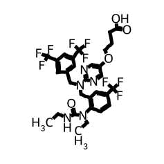 CCNC(=O)N(CC)c1ccc(C(F)(F)F)cc1CN(Cc1cc(C(F)(F)F)cc(C(F)(F)F)c1)c1ncc(OCCCC(=O)O)cn1